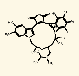 [2H]c1c([2H])c([2H])c2c(c1[2H])c1c([2H])n2C(C)(C)C[C@@H](CN(C)C(C)C)OC(C)Cn2cc(c3cc(C)c(C)cc32)C2=C1C(=O)NC2=O